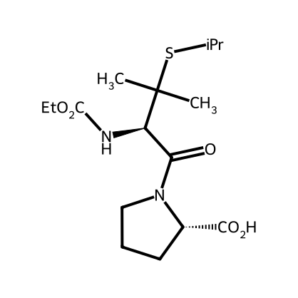 CCOC(=O)N[C@H](C(=O)N1CCC[C@H]1C(=O)O)C(C)(C)SC(C)C